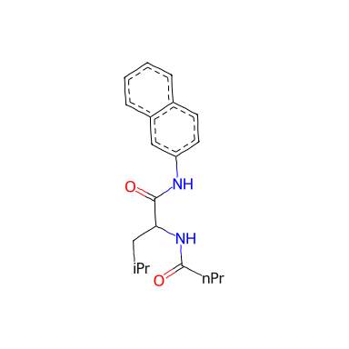 CCCC(=O)NC(CC(C)C)C(=O)Nc1ccc2ccccc2c1